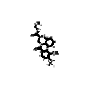 CCOC(=O)CCN(C(=O)c1ccc(NC)c(N)c1)c1ccccc1Cl